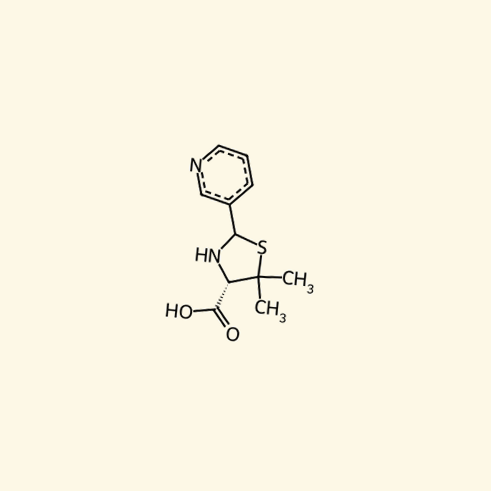 CC1(C)SC(c2cccnc2)N[C@H]1C(=O)O